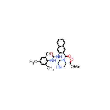 COC(=O)[C@@H]1CNCCN1C(=O)c1cc2ccccc2cc1NC(=O)Nc1c(C)cc(C)cc1C